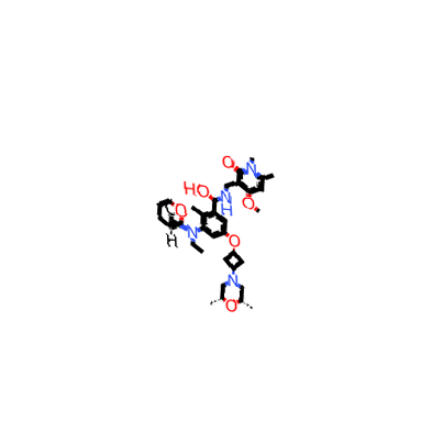 CCN(c1cc(O[C@H]2C[C@H](N3C[C@@H](C)O[C@@H](C)C3)C2)cc(C(O)NCc2c(OC)cc(C)n(C)c2=O)c1C)C1CC2CC[C@@H]1CO2